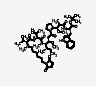 CC[C@H](C)[C@@H]([C@@H](CC(=O)N1CCC[C@H]1[C@H](OC)[C@@H](C)C(=O)N[C@@H](Cc1c[nH]c2ccccc12)C(=O)OC(C)(C)C)OC)N(C)C(=O)[C@@H](NC(=O)[C@H](C(C)C)N(C)CCCCCCN1C(=O)C=CC1=O)C(C)C